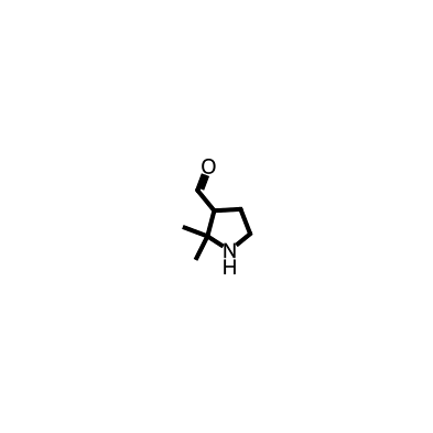 CC1(C)NCCC1C=O